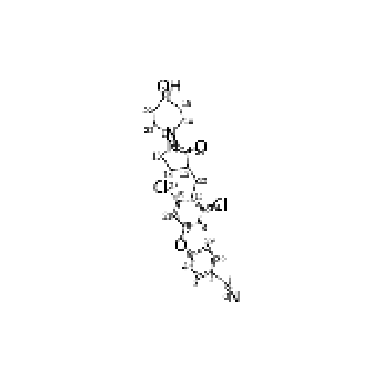 N#Cc1ccc(Oc2cc(Cl)c(CC3CCN(N4CCC(O)CC4)C3=O)c(Cl)c2)cc1